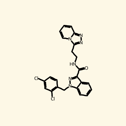 O=C(NCCc1nnc2ccccn12)c1nn(Cc2ccc(Cl)cc2Cl)c2ccccc12